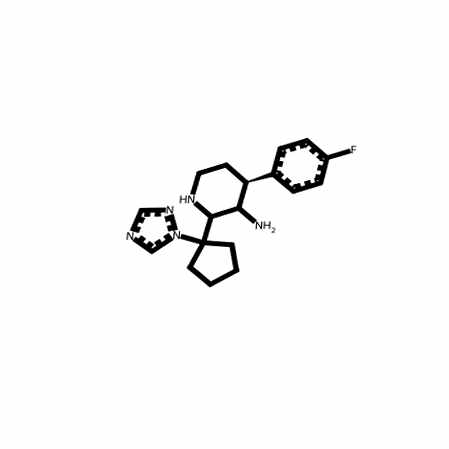 NC1C(C2(n3cncn3)CCCC2)NCC[C@H]1c1ccc(F)cc1